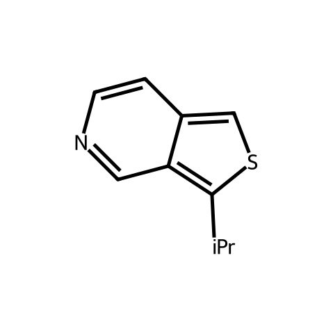 CC(C)c1scc2ccncc12